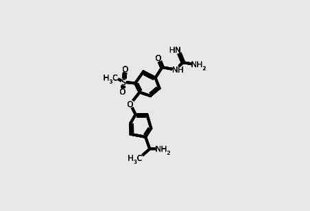 CC(N)c1ccc(Oc2ccc(C(=O)NC(=N)N)cc2S(C)(=O)=O)cc1